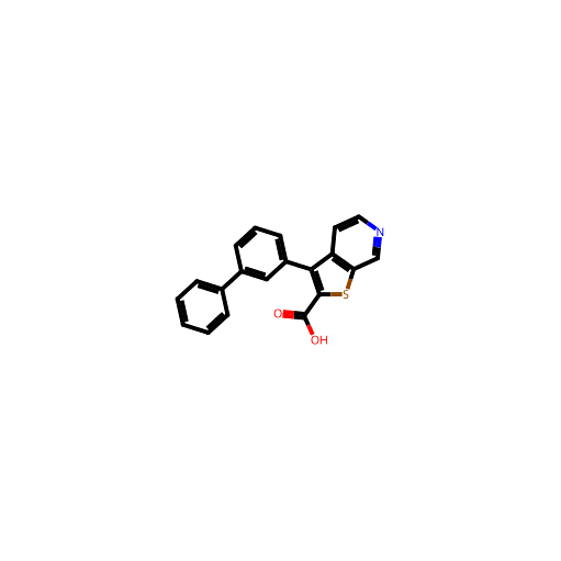 O=C(O)c1sc2cnccc2c1-c1cccc(-c2ccccc2)c1